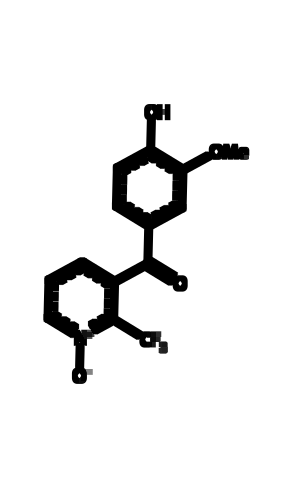 COc1cc(C(=O)c2ccc[n+]([O-])c2C(F)(F)F)ccc1O